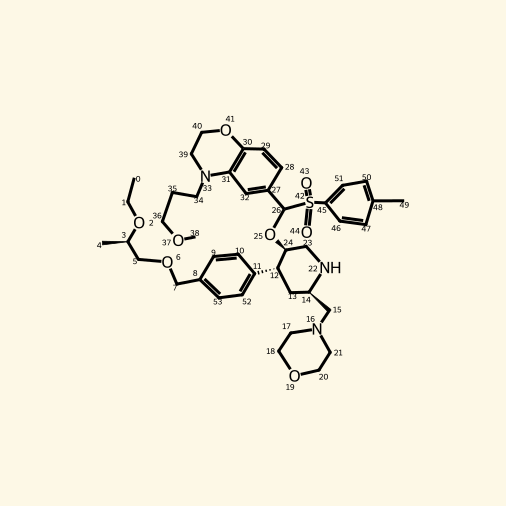 CCO[C@H](C)COCc1ccc([C@H]2C[C@H](CN3CCOCC3)NC[C@@H]2OC(c2ccc3c(c2)N(CCCOC)CCO3)S(=O)(=O)c2ccc(C)cc2)cc1